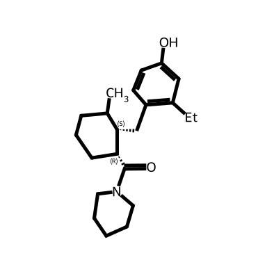 CCc1cc(O)ccc1C[C@H]1C(C)CCC[C@H]1C(=O)N1CCCCC1